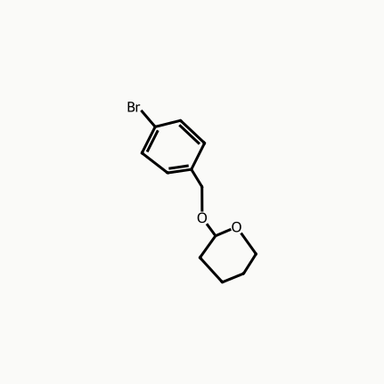 Brc1ccc(COC2CCCCO2)cc1